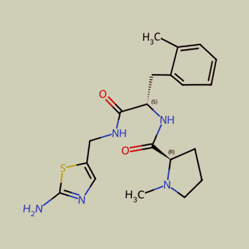 Cc1ccccc1C[C@H](NC(=O)[C@H]1CCCN1C)C(=O)NCc1cnc(N)s1